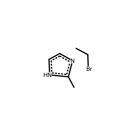 CCBr.Cc1ncc[nH]1